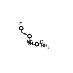 NC(=O)c1ccc(Cn2nnc(-c3cccc(C#CCc4ccc(F)cc4)c3)n2)cc1